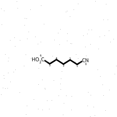 N#CCCCCCC(=O)O